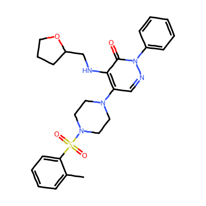 Cc1ccccc1S(=O)(=O)N1CCN(c2cnn(-c3ccccc3)c(=O)c2NCC2CCCO2)CC1